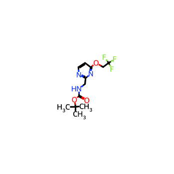 CC(C)(C)OC(=O)NCc1nccc(OCC(F)(F)F)n1